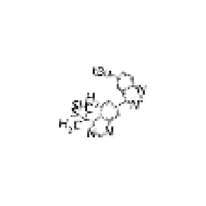 CC(C)(C)c1ccc2ncnc(-c3ccc4c(C(C)(C)SS)ncnc4c3)c2c1